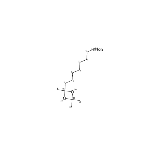 CCCCCCCCCCCCCCCCC1(C)OC(C)(C)O1